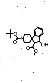 COC(=O)C1C(O)c2ccccc2C12CCN(C(=O)OC(C)(C)C)CC2